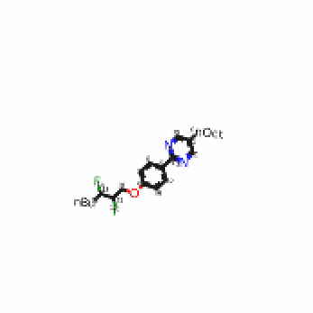 CCCCCCCCc1cnc(-c2ccc(OCC(F)C(F)CCCC)cc2)nc1